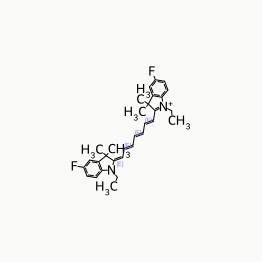 CCN1/C(=C/C=C/C=C/C=C/C2=[N+](CC)c3ccc(F)cc3C2(C)C)C(C)(C)c2cc(F)ccc21